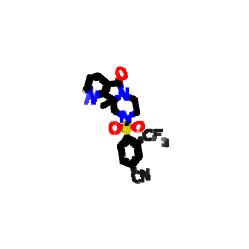 CC12CN(S(=O)(=O)c3ccc(C#N)cc3C(F)(F)F)CCN1C(=O)c1cccnc12